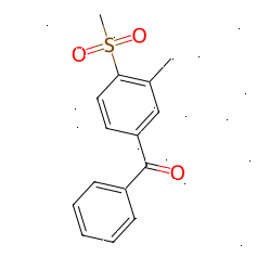 Cc1cc(C(=O)c2ccccc2)ccc1S(C)(=O)=O